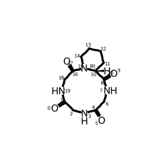 O=C1CNC(=O)CNC(=O)[C@H]2CCCCN2C(=O)CN1